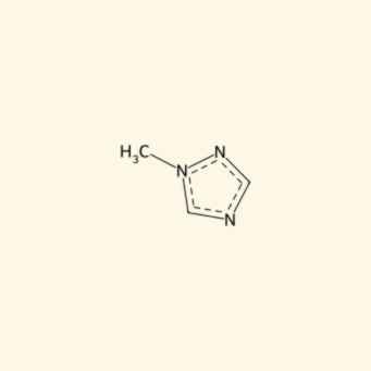 Cn1cncn1